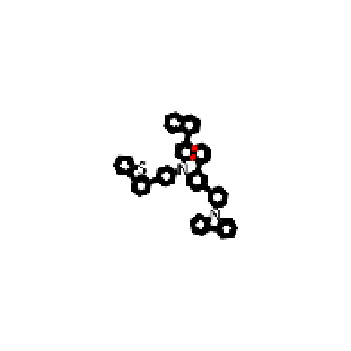 c1ccc(-c2cc(-c3cccc(-n4c5ccccc5c5ccccc54)c3)ccc2N(c2ccc(-c3cccc4ccccc34)cc2)c2ccc(-c3cccc4c3sc3ccccc34)cc2)cc1